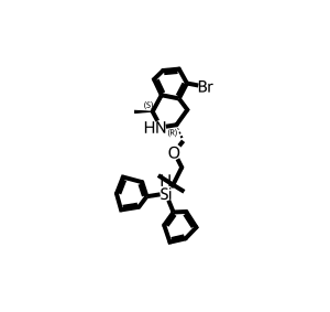 C[C@@H]1N[C@@H](COCC(C)(C)[SiH](c2ccccc2)c2ccccc2)Cc2c(Br)cccc21